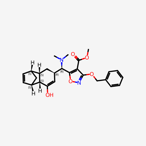 COC(=O)c1c(OCc2ccccc2)noc1[C@@H]([C@H]1C=C(O)[C@H]2[C@@H](C1)[C@H]1C=C[C@@H]2C1)N(C)C